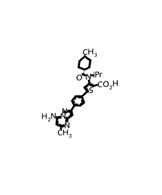 Cc1cc(N)n2nc(-c3ccc(-c4cc(N(C(=O)[C@H]5CC[C@H](C)CC5)C(C)C)c(C(=O)O)s4)cc3)cc2n1